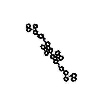 C(=C\c1ccc2c(c1)C1(c3ccccc3-c3ccccc31)c1cc(-c3ccc4c(c3)C3(c5ccccc5-c5ccccc53)c3cc(/C=C/c5ccc(-c6ccc7c(c6)c6ccccc6n7-c6cccc7ccccc67)cc5)ccc3-4)ccc1-2)/c1ccc(-c2ccc3c(c2)c2ccccc2n3-c2cccc3ccccc23)cc1